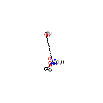 CC(C)(C)OC(=O)CCCCCCCCCCCCCCCCC(=O)NC[C@H](NC(=O)OCC1c2ccccc2-c2ccccc21)C(=O)O